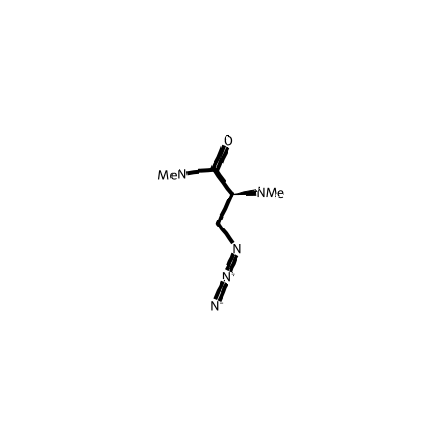 CNC(=O)[C@H](CN=[N+]=[N-])NC